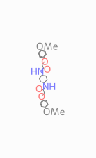 COc1ccc(OCC(=O)N[C@H]2CC[C@H](NC(=O)COc3ccc(OC)cc3)CC2)cc1